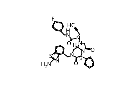 C#CCN(C(=O)NCc1ccc(F)cc1)N1CC(=O)N2[C@@H](c3ccccc3)C(=O)N(Cc3cccc4sc(N)nc34)C[C@@H]21